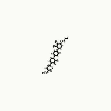 C=CCOc1ccc(-c2ccc(-c3ccc(-c4ncc(CCC)cn4)c(F)c3F)cc2)c(F)c1F